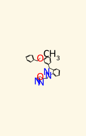 Cc1ccc(-c2nn(Cc3nnco3)c3ccccc23)cc1OCc1ccccc1